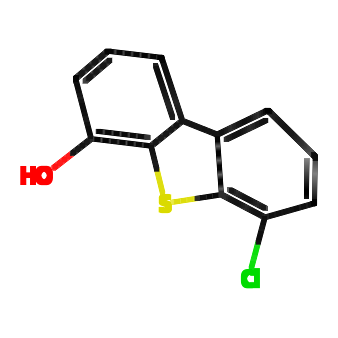 Oc1cccc2c1sc1c(Cl)cccc12